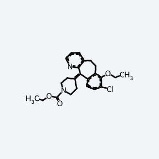 CCOC(=O)N1CCC(=C2c3ccc(Cl)c(OCC)c3CCc3cccnc32)CC1